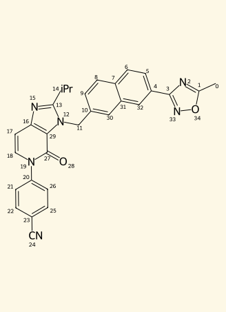 Cc1nc(-c2ccc3ccc(Cn4c(C(C)C)nc5ccn(-c6ccc(C#N)cc6)c(=O)c54)cc3c2)no1